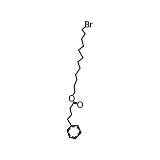 O=C(CCCc1ccccc1)OCCCCCCCCCCCCBr